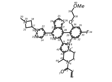 C=CC(=O)N1CCn2nc(-c3nc(-c4cnn(C5CN(C)C5)c4)c4ccsc4c3-c3c(F)cc(F)cc3OCCOC)cc2C1C